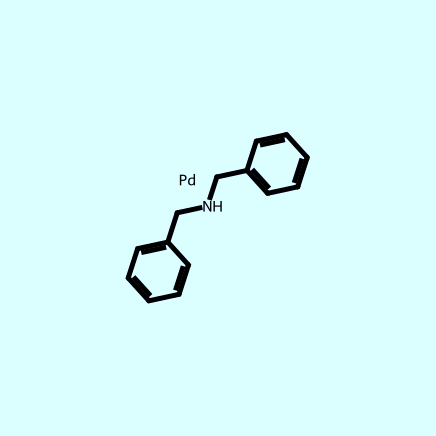 [Pd].c1ccc(CNCc2ccccc2)cc1